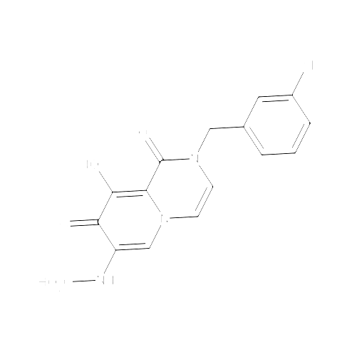 O=C(O)Nc1cn2ccn(Cc3cccc(Cl)c3)c(=O)c2c(O)c1=O